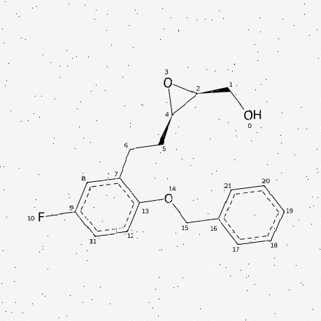 OC[C@@H]1O[C@@H]1CCc1cc(F)ccc1OCc1ccccc1